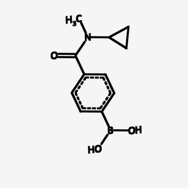 CN(C(=O)c1ccc(B(O)O)cc1)C1CC1